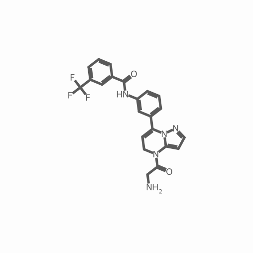 NCC(=O)N1CC=C(c2cccc(NC(=O)c3cccc(C(F)(F)F)c3)c2)n2nccc21